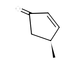 C[C@@H]1C=CC(=O)C1